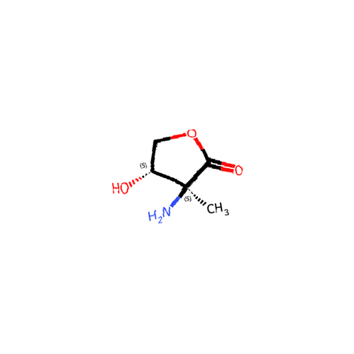 C[C@@]1(N)C(=O)OC[C@H]1O